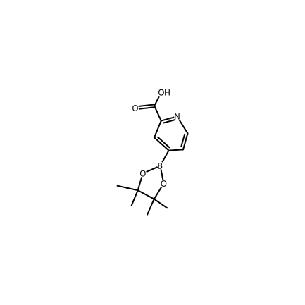 CC1(C)OB(c2ccnc(C(=O)O)c2)OC1(C)C